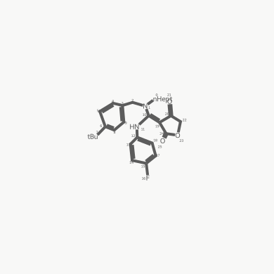 CCCCCCCN(Cc1ccc(C(C)(C)C)cc1)C(Nc1ccc(F)cc1)=C1C(=O)COC1=O